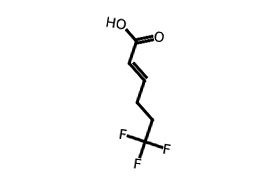 O=C(O)C=CCCC(F)(F)F